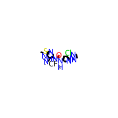 Cc1nc2c(C(N(C)C)C(F)(F)F)c(NC(=O)Nc3cnc(-n4nccn4)c(Cl)c3)cnc2s1